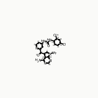 CC(C)n1cc(C(=O)c2cc(NC(=O)Nc3ccc(Cl)cc3Cl)ccn2)c2c(N)ncnc21